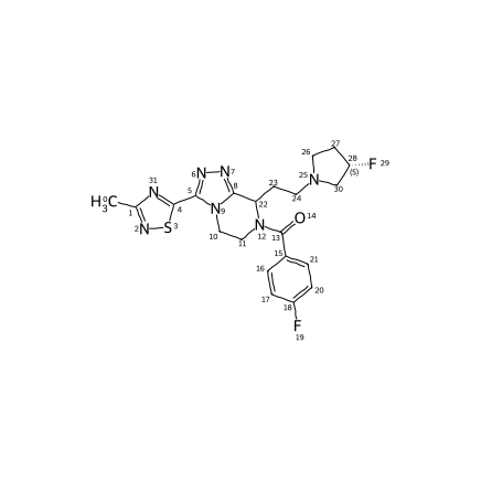 Cc1nsc(-c2nnc3n2CCN(C(=O)c2ccc(F)cc2)C3CCN2CC[C@H](F)C2)n1